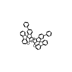 O=c1c2c(n3c4c(c(=O)n13)C1(c3ccccc3-c3ccccc31)c1cc(-c3ccccc3)ccc1-4)-c1ccc(-c3ccccc3)cc1C21c2ccccc2-c2ccccc21